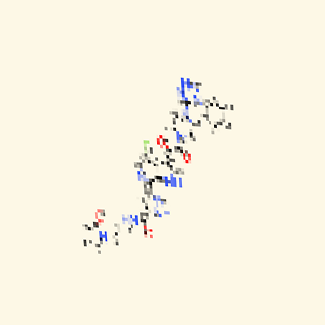 O=C(NCCCN1CCCC1=O)c1cc(-c2ncc(F)c3c(C(=O)C(=O)N4CCN(c5nnnn5-c5ccccc5)CC4)c[nH]c23)n[nH]1